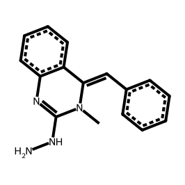 CN1C(=Cc2ccccc2)c2ccccc2N=C1NN